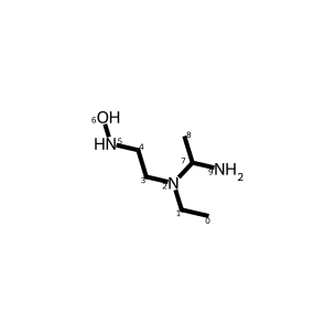 CCN(CCNO)C(C)N